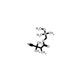 CO[Si](C)(C)COC(=O)C(C)C(C)(C)C#N